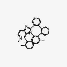 Cc1ccccc1-c1c2c(cc[n+]1C)nc1n2-c2cccc(C)c2-c2ccccc2-c2ccccc2-1